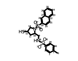 Cc1ccc(S(=O)(=O)NCC2CC(S)CN2S(=O)(=O)c2ccc3ccccc3c2)cc1